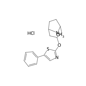 CN1C2CCC1CC(Oc1ncc(-c3ccccc3)s1)C2.Cl